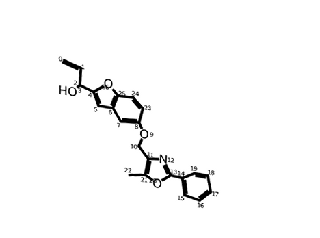 C=CC(O)c1cc2cc(OCc3nc(-c4ccccc4)oc3C)ccc2o1